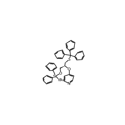 CC(C)(C)[Si](OC[C@@H](CSC(c1ccccc1)(c1ccccc1)c1ccccc1)Oc1ccncc1)(c1ccccc1)c1ccccc1